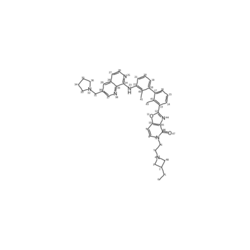 CCC1CN(CCn2ccc3oc(-c4cccc(-c5cccc(Nc6nccc7cc(CN8CCCC8)cnc67)c5C)c4C)nc3c2=O)C1